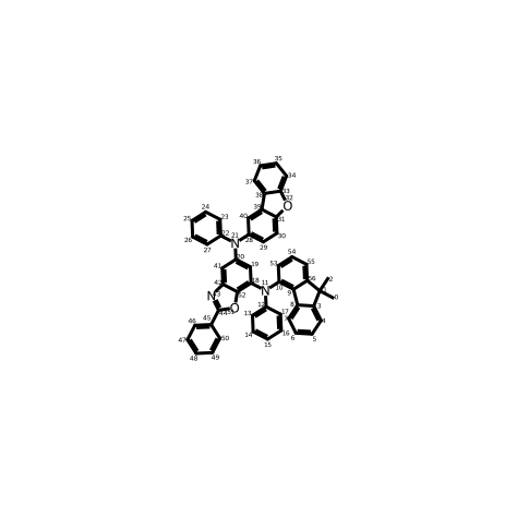 CC1(C)c2ccccc2-c2c(N(c3ccccc3)c3cc(N(c4ccccc4)c4ccc5oc6ccccc6c5c4)cc4nc(-c5ccccc5)oc34)cccc21